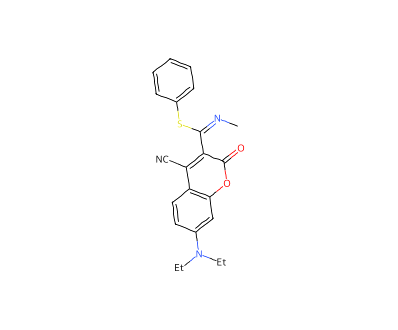 CCN(CC)c1ccc2c(C#N)c(/C(=N\C)Sc3ccccc3)c(=O)oc2c1